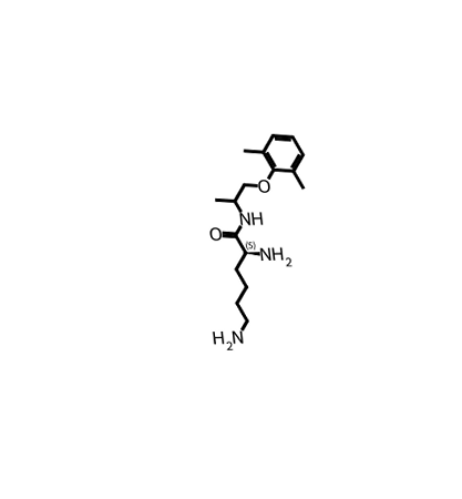 Cc1cccc(C)c1OCC(C)NC(=O)[C@@H](N)CCCCN